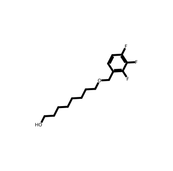 OCCCCCCCCOCc1ccc(F)c(F)c1F